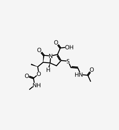 CNC(=O)O[C@@H](C)[C@H]1C(=O)N2C(C(=O)O)=C(SC=CNC(C)=O)C[C@H]12